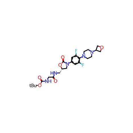 CC(C)(C)OC(=O)NCC(=O)NC[C@H]1CN(c2cc(F)c(N3CCN(C4COC4)CC3)c(F)c2)C(=O)O1